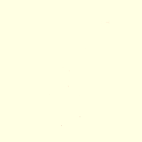 CCOCOc1c(I)cccc1I